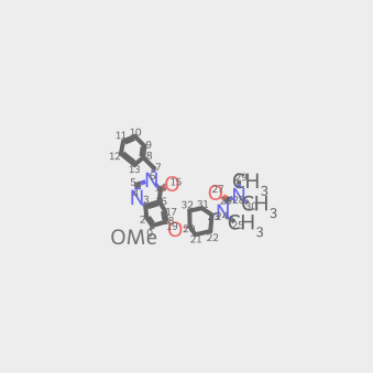 COc1cc2ncn(Cc3ccccc3)c(=O)c2cc1O[C@H]1CC[C@@H](N(C)C(=O)N(C)C)CC1